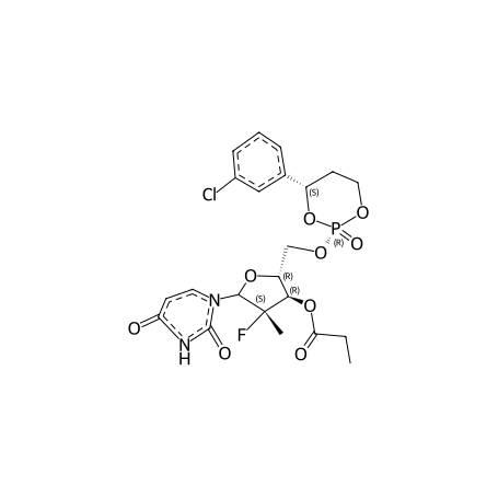 CCC(=O)O[C@@H]1[C@@H](CO[P@@]2(=O)OCC[C@@H](c3cccc(Cl)c3)O2)OC(n2ccc(=O)[nH]c2=O)[C@@]1(C)F